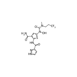 CN(CCC(F)(F)F)[S+]([O-])N(O)c1cc(C(N)=O)c(NC(=O)c2cc[nH]n2)s1